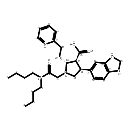 CCCCN(CCCC)C(=O)CN1C[C@H](c2ccc3c(c2)OCO3)[C@H](C(=O)O)[C@H]1CCc1ccccn1